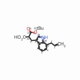 C=CCc1cccc2c(CC(C(=O)O)C(=O)OC(C)(C)C)c[nH]c12